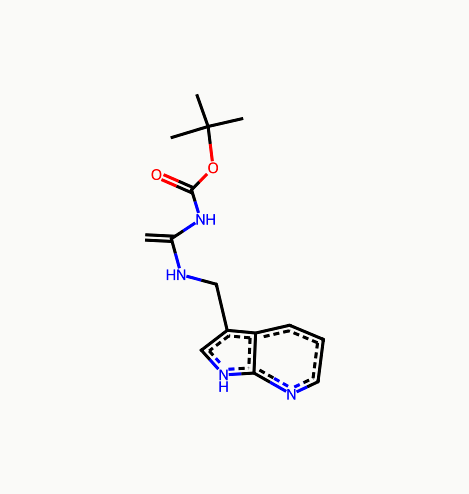 C=C(NCc1c[nH]c2ncccc12)NC(=O)OC(C)(C)C